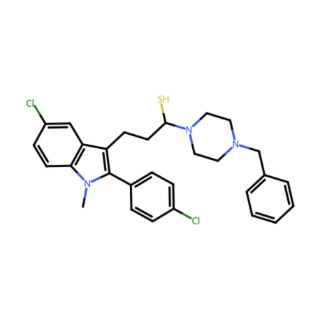 Cn1c(-c2ccc(Cl)cc2)c(CCC(S)N2CCN(Cc3ccccc3)CC2)c2cc(Cl)ccc21